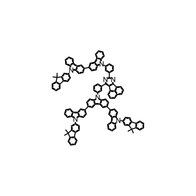 CC1(C)c2ccccc2-c2ccc(-n3c4ccccc4c4cc(-c5ccc6c(c5)c5ccccc5n6-c5cccc(-c6nc(-c7cccc(-n8c9ccc(-c%10ccc%11c(c%10)c%10ccccc%10n%11-c%10ccc%11c(c%10)C(C)(C)c%10ccccc%10-%11)cc9c9cc(-c%10ccc%11c(c%10)c%10ccccc%10n%11-c%10ccc%11c(c%10)C(C)(C)c%10ccccc%10-%11)ccc98)c7)c7c(n6)-c6cccc8cccc-7c68)c5)ccc43)cc21